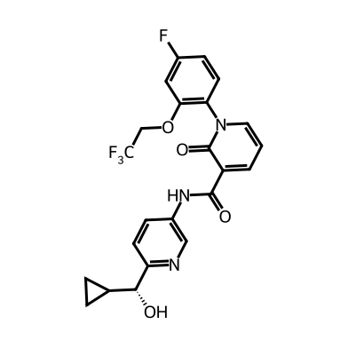 O=C(Nc1ccc([C@H](O)C2CC2)nc1)c1cccn(-c2ccc(F)cc2OCC(F)(F)F)c1=O